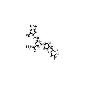 CCc1cc(OC)ccc1CNc1cc(C(N)=O)nc(-c2ccc(Oc3ccc(F)cc3)cc2)n1